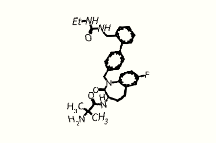 CCNC(=O)NCc1ccccc1-c1ccc(CN2C(=O)[C@H](NC(=O)C(C)(C)N)CCc3cc(F)ccc32)cc1